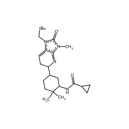 Cn1c2c(n(CC(C)(C)C)c1=O)=CCC(C1CCC(C)(C)C(NC(=O)C3CC3)C1)N=2